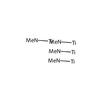 C[NH][Ti].C[NH][Ti].C[NH][Ti].C[NH][Ti]